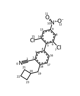 N#Cc1cc(-c2c(Cl)cc([N+](=O)[O-])cc2Cl)ccc1CC1CCC1